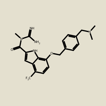 CN(C)Cc1ccc(COc2ccc(C(F)(F)F)c3cc(C(=O)N(C)C(=N)N)[nH]c23)cc1